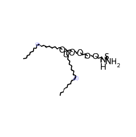 CCCCCCCC/C=C\CCCCCCCCOCC(COCCOCCOCCOCCNC(N)=S)OCCCCCCCC/C=C\CCCCCCCC